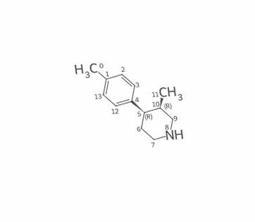 Cc1ccc([C@@H]2CCNC[C@@H]2C)cc1